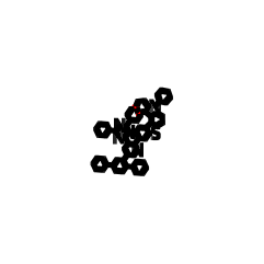 c1ccc(-c2ccc(-c3ccccc3)c(-c3cnc(-c4ccc5c(c4)sc4ccc6c(c7ccccc7n6-c6ccccc6)c45)c(-c4nc(-c5ccccc5)nc(-c5ccccc5)n4)c3)c2)cc1